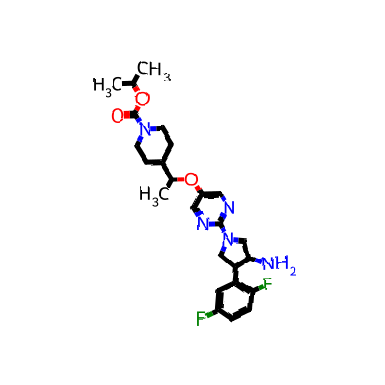 CC(C)OC(=O)N1CCC(C(C)Oc2cnc(N3CC(N)C(c4cc(F)ccc4F)C3)nc2)CC1